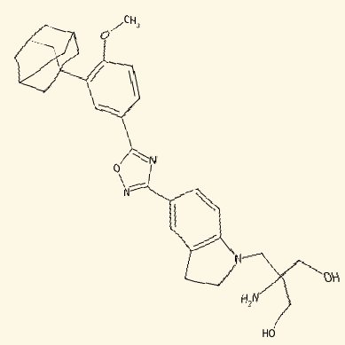 COc1ccc(-c2nc(-c3ccc4c(c3)CCN4CC(N)(CO)CO)no2)cc1C12CC3CC(CC(C3)C1)C2